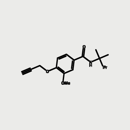 C#CCOc1ccc(C(=O)NC(C)(C)C(C)C)cc1OC